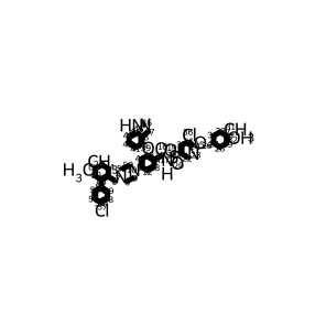 CC1(C)CCC(CN2CCN(c3ccc(C(=O)NS(=O)(=O)c4cnc(OC[C@H]5CC[C@](C)(O)CC5)c(Cl)c4)c(Oc4cccc5[nH]ncc45)c3)CC2)=C(c2ccc(Cl)cc2)C1